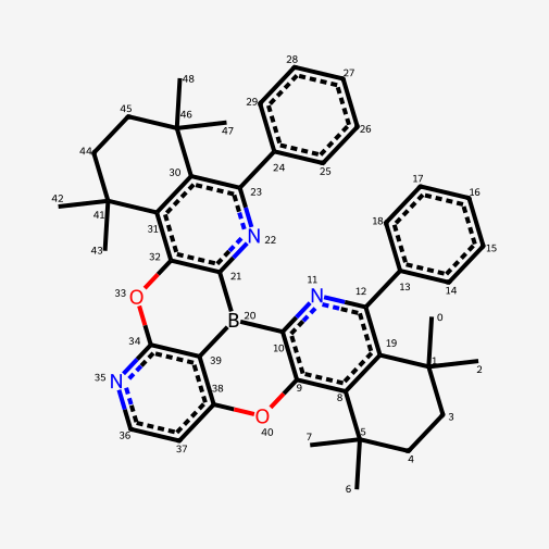 CC1(C)CCC(C)(C)c2c3c(nc(-c4ccccc4)c21)B1c2nc(-c4ccccc4)c4c(c2Oc2nccc(c21)O3)C(C)(C)CCC4(C)C